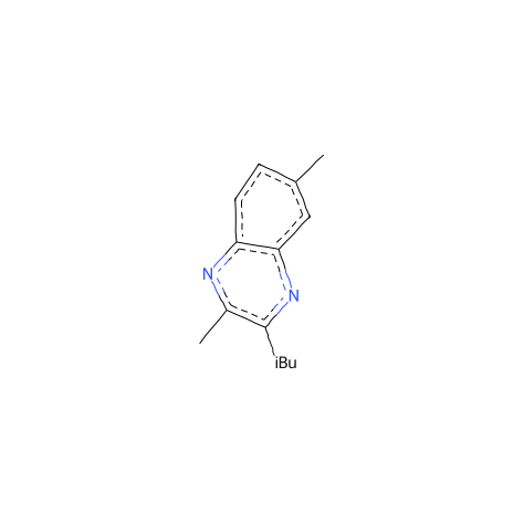 CCC(C)c1nc2cc(C)ccc2nc1C